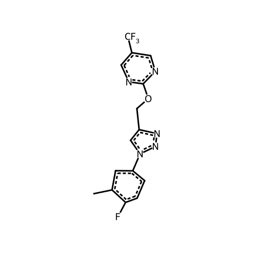 Cc1cc(-n2cc(COc3ncc(C(F)(F)F)cn3)nn2)ccc1F